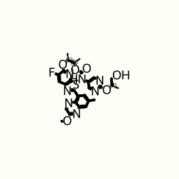 COc1cnc2c(-c3nc4cc(F)c(O[C@@H](C)[C@@H](C)OC(=O)Nc5cnc(O[C@H](C)CO)nc5)nc4s3)cc(C)cc2n1